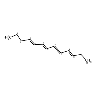 [CH2]CCC=CC=CC=CC=CCC